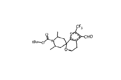 CC1CC2(CC(C)N1C(=O)OC(C)(C)C)OCCc1c2sc(C(F)(F)F)c1C=O